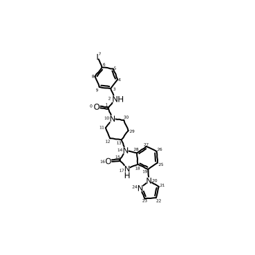 O=C(Nc1ccc(I)cc1)N1CCC(n2c(=O)[nH]c3c(-n4cccn4)cccc32)CC1